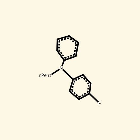 CCCCCN(c1cc[c]cc1)c1ccc(F)cc1